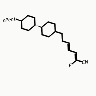 CCCCC[C@H]1CC[C@H](C2CCC(CCC=CC=C(F)C#N)CC2)CC1